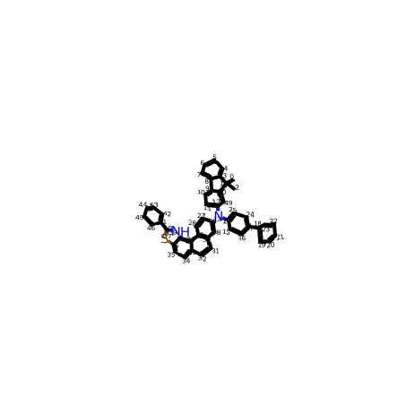 CC1(C)c2ccccc2-c2ccc(N(c3ccc(-c4ccccc4)cc3)c3ccc4c(ccc5ccc6c(c54)NC(c4ccccc4)S6)c3)cc21